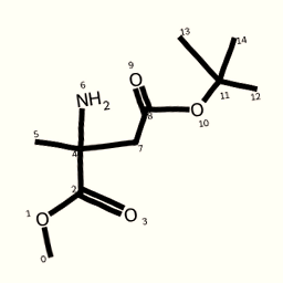 COC(=O)C(C)(N)CC(=O)OC(C)(C)C